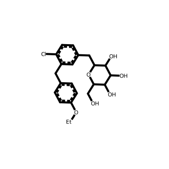 CCOc1ccc(Cc2cc(CC3OC(CO)C(O)C(O)C3O)ccc2Cl)cc1